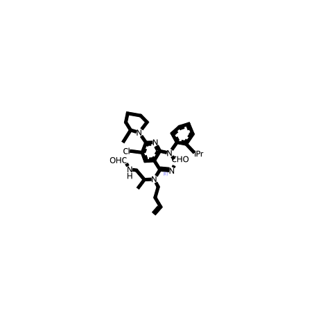 C=CCCN(/C(=N/C)c1cc(Cl)c(N2CCCCC2C)nc1N(C=O)c1ccccc1C(C)C)C(C)CNC=O